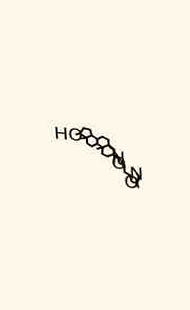 Cc1cnc(CCON=C2C=C3CCC4C(CCC5(C)C(O)CCC45)C3(C)CC2)o1